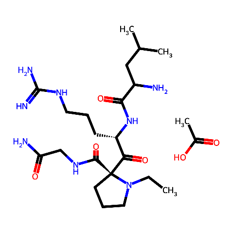 CC(=O)O.CCN1CCC[C@]1(C(=O)NCC(N)=O)C(=O)[C@H](CCCNC(=N)N)NC(=O)C(N)CC(C)C